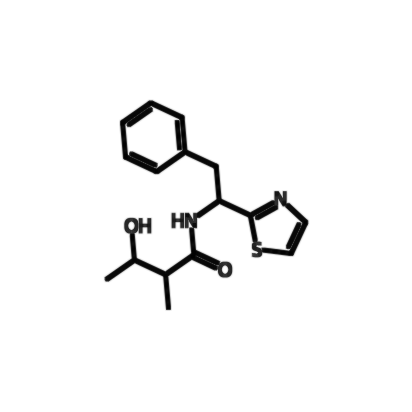 CC(O)C(C)C(=O)NC(Cc1ccccc1)c1nccs1